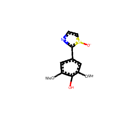 COc1cc(-c2ncc[s+]2[O-])cc(OC)c1O